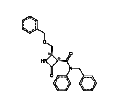 O=C1N[C@@H](COCc2ccccc2)[C@H]1C(=O)N(Cc1ccccc1)c1ccccc1